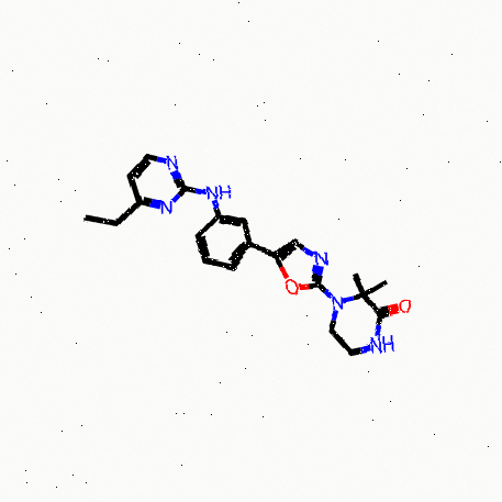 CCc1ccnc(Nc2cccc(-c3cnc(N4CCNC(=O)C4(C)C)o3)c2)n1